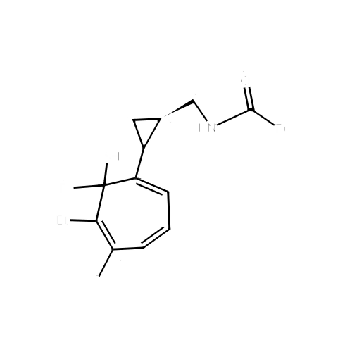 CCC(=O)NC[C@@H]1CC1C1=CC=CC(C)=C(CC)C1(S)CC